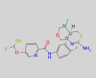 NC1=N[C@@]2(c3cc(NC(=O)c4ccc(OC(F)S)cn4)ccc3F)COC[C@@H](F)[C@H]2CS1